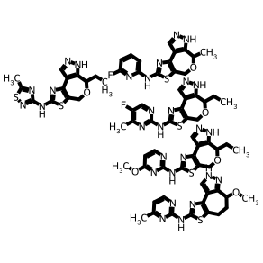 CC1OCc2sc(Nc3cccc(F)n3)nc2-c2cn[nH]c21.CCC1OCc2sc(Nc3ncc(F)c(C)n3)nc2-c2cn[nH]c21.CCC1OCc2sc(Nc3nccc(OC)n3)nc2-c2cn[nH]c21.CCC1OCc2sc(Nc3nsc(C)n3)nc2-c2cn[nH]c21.COC1CCc2sc(Nc3nccc(C)n3)nc2-c2c[nH]nc21